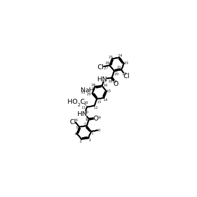 Cc1cccc(Cl)c1C(=O)N[C@@H](Cc1ccc(NC(=O)c2c(Cl)cccc2Cl)cc1)C(=O)O.[NaH]